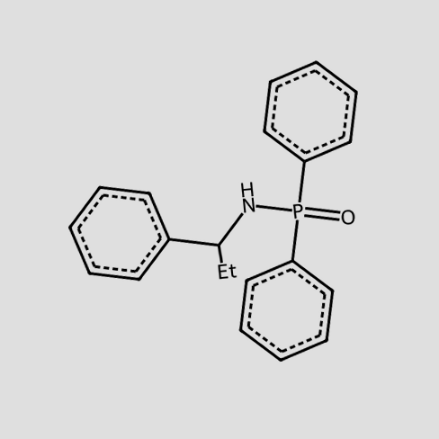 CCC(NP(=O)(c1ccccc1)c1ccccc1)c1ccccc1